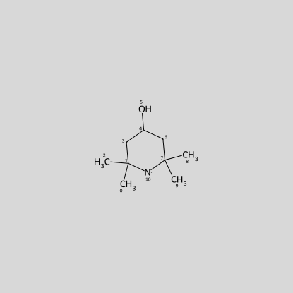 CC1(C)CC(O)CC(C)(C)[N]1